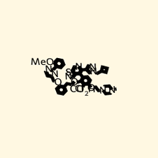 COc1ccccc1-c1nccc(COc2ccccc2CC(Oc2nsc3cnc(-c4cnn(CC5CCC5)c4)c(-c4ccc(OCCN5CCN(C)CC5)c(Cl)c4C)c23)C(=O)O)n1